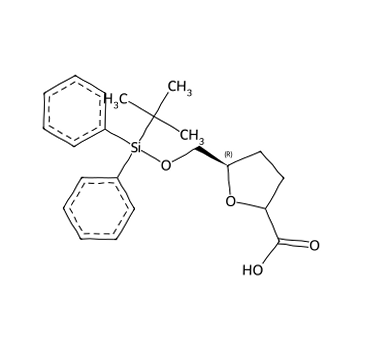 CC(C)(C)[Si](OC[C@H]1CCC(C(=O)O)O1)(c1ccccc1)c1ccccc1